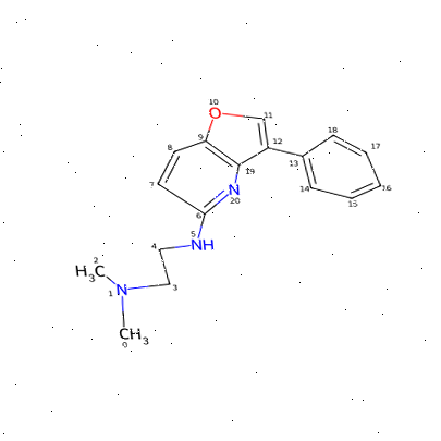 CN(C)CCNc1ccc2occ(-c3ccccc3)c2n1